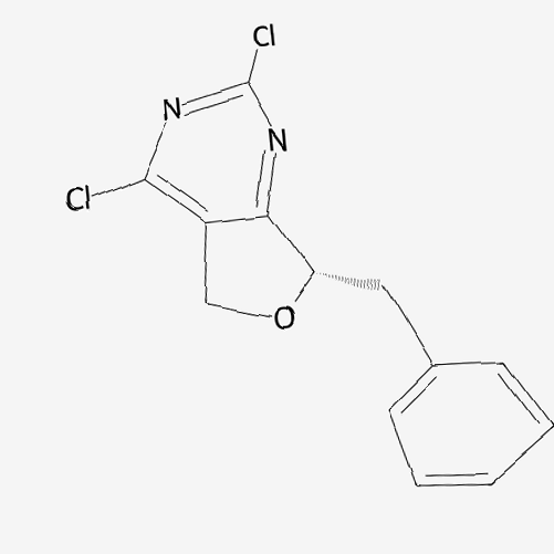 Clc1nc(Cl)c2c(n1)[C@H](Cc1ccccc1)OC2